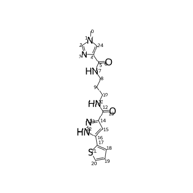 Cn1cnc(C(=O)NCCCNC(=O)c2cc(-c3cccs3)[nH]n2)c1